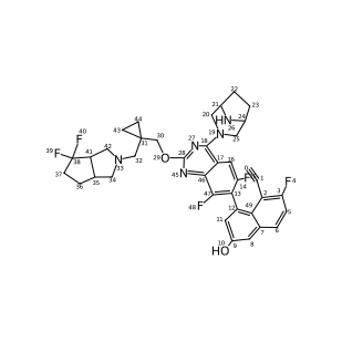 C#Cc1c(F)ccc2cc(O)cc(-c3c(F)cc4c(N5CC6CCC(C5)N6)nc(OCC5(CN6CC7CCC(F)(F)C7C6)CC5)nc4c3F)c12